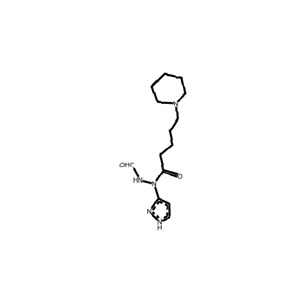 O=CNN(C(=O)CCCCN1CCCCC1)c1cc[nH]n1